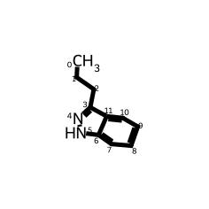 CCCc1n[nH]c2cc[c]cc12